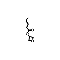 [CH2]CCCC(=O)OC1COC1